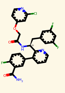 NC(=O)c1cc(-c2cccnc2[C@H](Cc2cc(F)cc(F)c2)NC(=O)COc2ccnc(Cl)c2)ccc1F